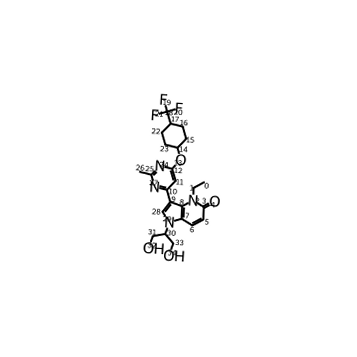 CCn1c(=O)ccc2c1c(-c1cc(OC3CCC(C(F)(F)F)CC3)nc(C)n1)cn2C(CO)CO